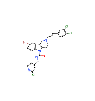 O=C(NCc1ccnc(Cl)c1)n1c2c(c3cc(Br)ccc31)CN(C/C=C/c1ccc(Cl)c(Cl)c1)CC2